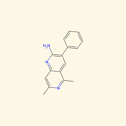 Cc1cc2nc(N)c(-c3ccccc3)cc2c(C)n1